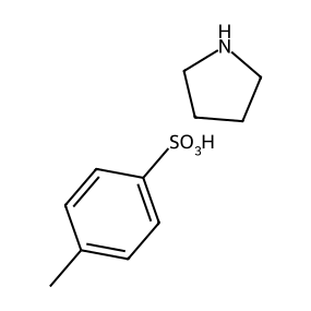 C1CCNC1.Cc1ccc(S(=O)(=O)O)cc1